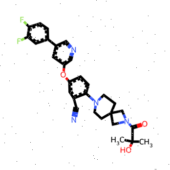 CC(C)(O)C(=O)N1CC2(CCN(c3ccc(Oc4cncc(-c5ccc(F)c(F)c5)c4)cc3C#N)CC2)C1